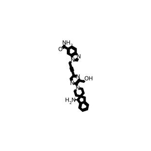 NC(=O)c1ccc2ncn(CC#Cc3cnc(N4CCC5(CC4)Cc4ccccc4[C@H]5N)c(CO)n3)c2c1